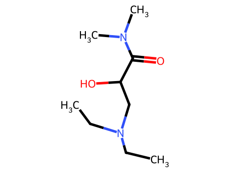 CCN(CC)CC(O)C(=O)N(C)C